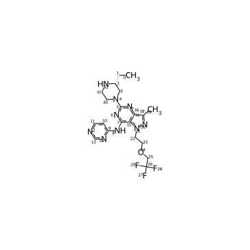 CC[C@@H]1CN(c2nc(Nc3ccncn3)c3c(n2)c(C)nn3CCOCC(F)(F)F)CCN1